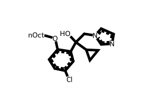 CCCCCCCCOc1ccc(Cl)cc1C(O)(Cn1ccnc1)C1CC1